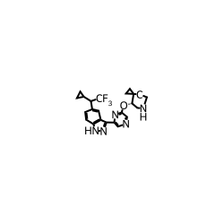 FC(F)(F)C(c1ccc2[nH]nc(-c3cncc(O[C@H]4CNCCC45CC5)n3)c2c1)C1CC1